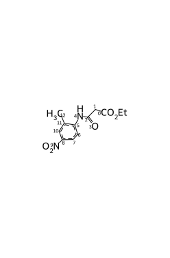 CCOC(=O)CC(=O)Nc1ccc([N+](=O)[O-])cc1C